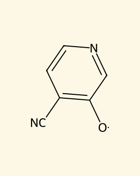 N#Cc1ccncc1[O]